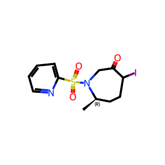 C[C@@H]1CCC(I)C(=O)CN1S(=O)(=O)c1ccccn1